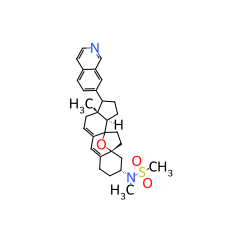 CN([C@@H]1CCC2=CC3=CC[C@]4(C)C(c5ccc6ccncc6c5)CC[C@H]4C34CC[C@]2(C1)O4)S(C)(=O)=O